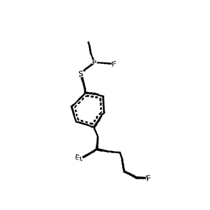 CCC(CCF)c1ccc(SP(C)F)cc1